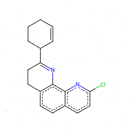 Clc1ccc2ccc3c(c2n1)N=C(C1C=CCCC1)CC3